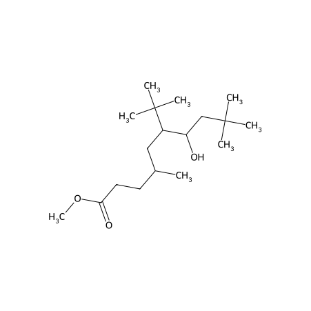 COC(=O)CCC(C)CC(C(O)CC(C)(C)C)C(C)(C)C